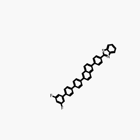 Fc1cc(F)cc(-c2ccc(-c3ccc(-c4ccc5cc(-c6ccc(-c7nc8ccccc8s7)cc6)ccc5c4)cc3)cc2)c1